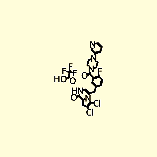 O=C(O)C(F)(F)F.O=C(c1cc(Cc2c[nH]c(=O)c3cc(Cl)c(Cl)n23)ccc1F)N1CCN(c2cccnc2)CC1